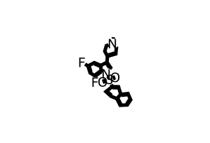 CN1CC=C(c2cn(S(=O)(=O)c3ccc4ccccc4c3)c3c(F)cc(F)cc23)CC1